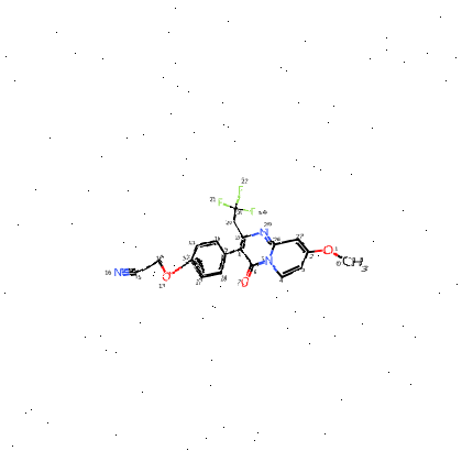 COc1ccn2c(=O)c(-c3ccc(OCC#N)cc3)c(CC(F)(F)F)nc2c1